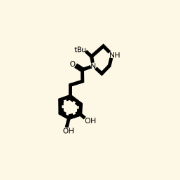 CC(C)(C)C1CNCCN1C(=O)CCc1ccc(O)c(O)c1